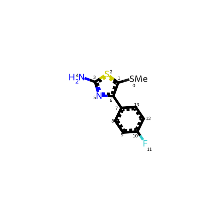 CSc1sc(N)nc1-c1ccc(F)cc1